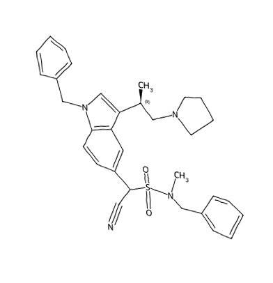 C[C@@H](CN1CCCC1)c1cn(Cc2ccccc2)c2ccc(C(C#N)S(=O)(=O)N(C)Cc3ccccc3)cc12